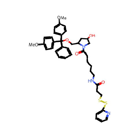 COc1ccc(C(OCC2CC(O)CN2C(=O)CCCCCNC(=O)CCSSc2ccccn2)(c2ccccc2)c2ccc(OC)cc2)cc1